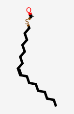 CCCCCCCC/C=C\CCCCCCCS[C]=O